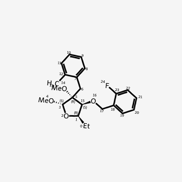 CC[C@H]1O[C@H](OC)[C@](Cc2ccccc2C)(OC)[C@H]1OCc1ccccc1F